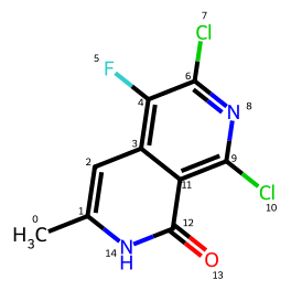 Cc1cc2c(F)c(Cl)nc(Cl)c2c(=O)[nH]1